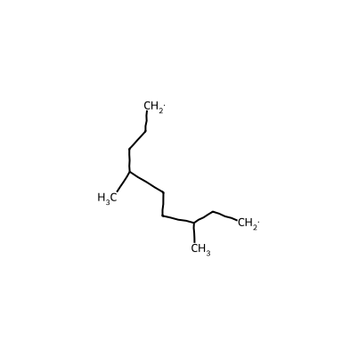 [CH2]CCC(C)CCC(C)C[CH2]